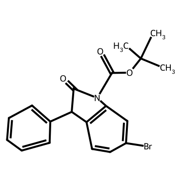 CC(C)(C)OC(=O)N1C(=O)C(c2ccccc2)c2ccc(Br)cc21